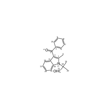 Cc1c(C(=O)c2ccccc2)c2ccccc2n1C(C)(C)C=O